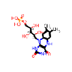 Cc1cc2c(cc1C)N(C[C@H](O)[C@H](O)[C@H](O)COP(=O)(O)O)c1[nH]c(=O)[nH]c(=O)c1N2